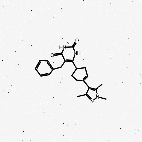 Cc1nn(C)c(C)c1C1=CCC(c2[nH]c(=O)[nH]c(=O)c2Cc2ccccc2)CC1